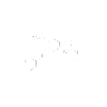 COc1ccc(N2CCC(C)NC2=O)cc1OCc1ccccc1